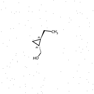 CC[C@@H]1C[C@H]1CO